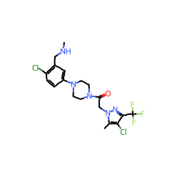 CNCc1cc(N2CCN(C(=O)Cn3nc(C(F)(F)F)c(Cl)c3C)CC2)ccc1Cl